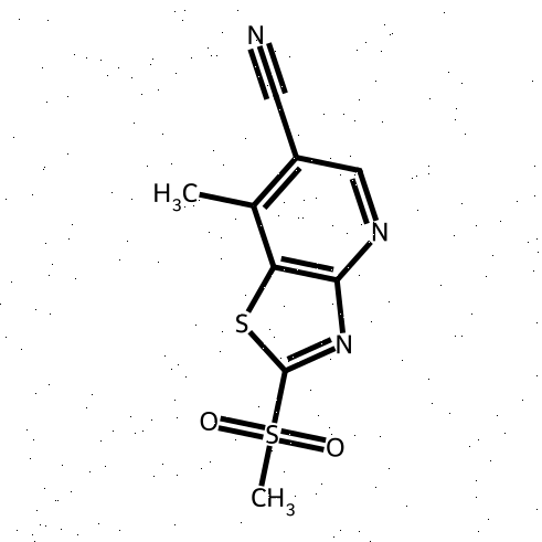 Cc1c(C#N)cnc2nc(S(C)(=O)=O)sc12